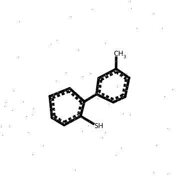 Cc1cccc(-c2ccccc2S)c1